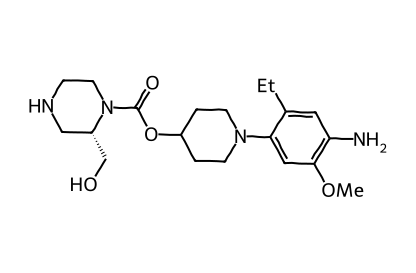 CCc1cc(N)c(OC)cc1N1CCC(OC(=O)N2CCNC[C@H]2CO)CC1